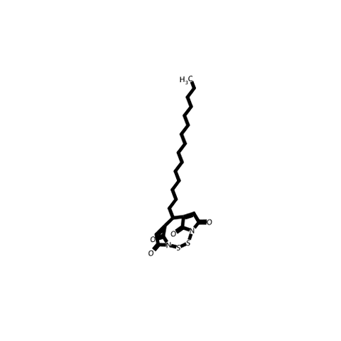 CCCCCCCCCCCCCCCC1C2=CC(=O)N(SSN3C(=O)C=C1C3=O)C2=O